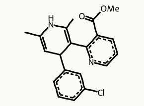 COC(=O)c1cccnc1C1=C(C)NC(C)=CC1c1cccc(Cl)c1